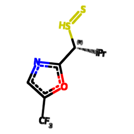 CC(C)[C@@H]([SH]=S)c1ncc(C(F)(F)F)o1